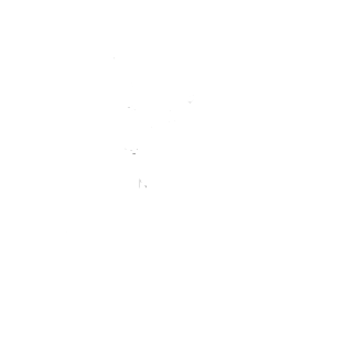 c1cc(-c2cccc3ccccc23)cc(N(c2ccc3c(c2)-c2c4cccc2-c2cccc-3c2-c2ccccc2-4)c2cccc3ccccc23)c1